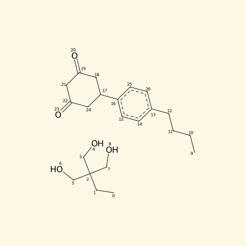 CCC(CO)(CO)CO.CCCCc1ccc(C2CC(=O)CC(=O)C2)cc1